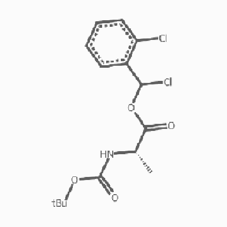 C[C@H](NC(=O)OC(C)(C)C)C(=O)OC(Cl)c1ccccc1Cl